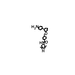 CC1(C)CC(NC(=O)c2ccc(COc3cccc(-c4ccc(N)cc4)c3)cc2)CC(C)(C)N1